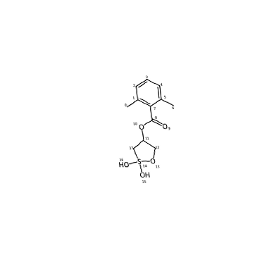 Cc1cccc(C)c1C(=O)OC1COS(O)(O)C1